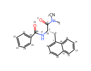 CN(C#N)C(=O)[C@H](Cc1cccc2ccccc12)NC(=O)c1ccccc1